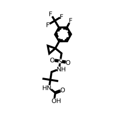 CC(C)(CNS(=O)(=O)CC1(c2ccc(F)c(C(F)(F)F)c2)CC1)NC(=O)O